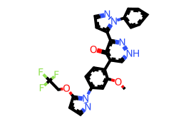 COc1cc(-n2nccc2OCC(F)(F)F)ccc1-c1c[nH]nc(-c2ccnn2-c2ccccc2)c1=O